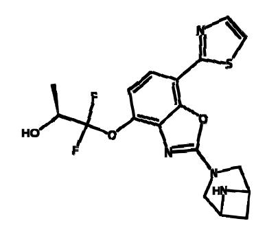 C[C@H](O)C(F)(F)Oc1ccc(-c2nccs2)c2oc(N3CC4CC(C3)N4)nc12